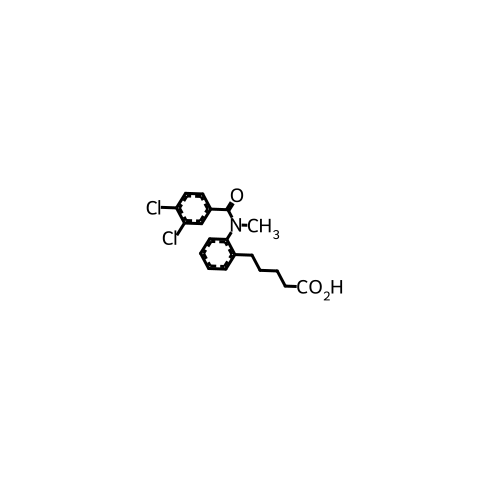 CN(C(=O)c1ccc(Cl)c(Cl)c1)c1ccccc1CCCCC(=O)O